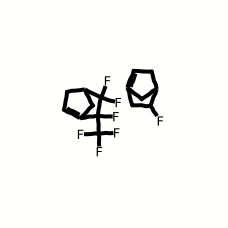 FC(F)(F)C1(F)C2=CCC(C2)C1(F)F.FC1CC2=CCC1C2